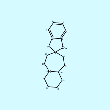 c1ccc2c(c1)CC1(CCC3CCCCN3CC1)O2